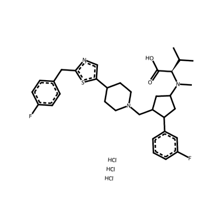 CC(C)[C@H](C(=O)O)N(C)C1CC(CN2CCC(c3cnc(Cc4ccc(F)cc4)s3)CC2)C(c2cccc(F)c2)C1.Cl.Cl.Cl